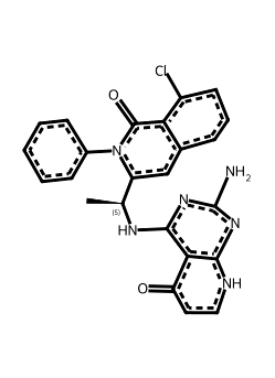 C[C@H](Nc1nc(N)nc2[nH]ccc(=O)c12)c1cc2cccc(Cl)c2c(=O)n1-c1ccccc1